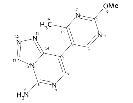 COc1ncc(-c2cnc(N)n3cnnc23)c(C)n1